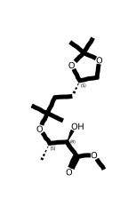 COC(=O)[C@H](O)[C@H](C)OC(C)(C)CC[C@H]1COC(C)(C)O1